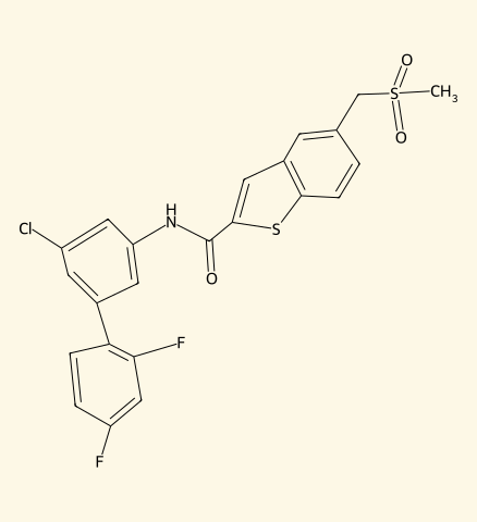 CS(=O)(=O)Cc1ccc2sc(C(=O)Nc3cc(Cl)cc(-c4ccc(F)cc4F)c3)cc2c1